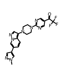 Cn1cc(-c2ccc3c(N4CCN(c5ncc(C(=O)C(F)(F)F)cn5)CC4)cnn3c2)cn1